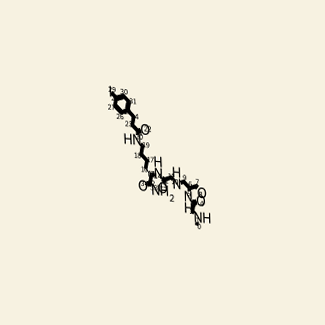 CNCC(=O)NC(C=O)CNCC(=O)N[C@@H](CCCCNC(=O)CCc1ccc(I)cc1)C(N)=O